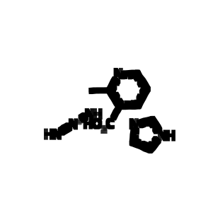 Cc1ncccc1C(=O)O.N=[N+]=N.c1c[nH]cn1